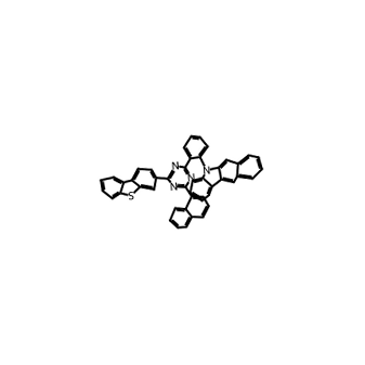 c1ccc(-n2c3ccccc3c3cc4ccccc4cc32)c(-c2nc(-c3ccc4c(c3)sc3ccccc34)nc(-c3cccc4ccccc34)n2)c1